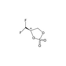 O=S1(=O)OC[C@H](C(F)F)O1